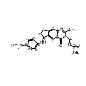 Cc1nc2cc3c(cc2c(=O)n1COC(=O)C(C)(C)C)C(Nc1ccc(C(=O)O)nc1)CC3